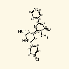 Cl.Cn1c(N2CCNC(c3ccc(Cl)cc3)C2)nc(-c2ccncc2)cc1=O